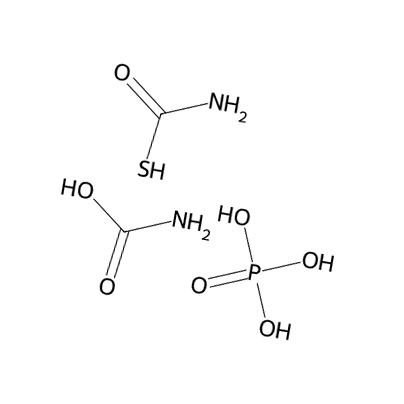 NC(=O)O.NC(=O)S.O=P(O)(O)O